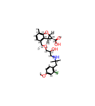 COc1ccc(CC(C)(C)NCC(O)CO[C@H](C)c2ccc(C)c3c2[C@@H]2[C@H](O3)[C@H]2C(=O)O)c(F)c1